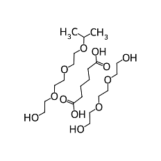 CC(C)OCCOCCOCCO.O=C(O)CCCCC(=O)O.OCCOCCOCCO